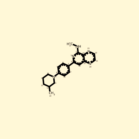 CNc1nc(-c2ccc(N3CCCC(C)C3)cc2)cc2nccnc12